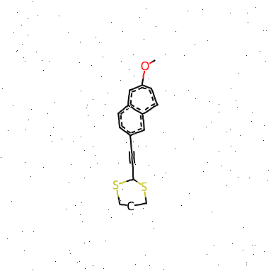 COc1ccc2cc(C#CC3SCCCS3)ccc2c1